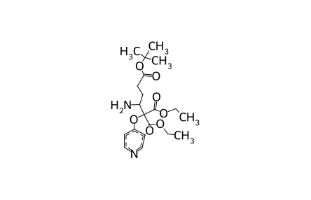 CCOC(=O)C(Oc1ccncc1)(C(=O)OCC)C(N)CCC(=O)OC(C)(C)C